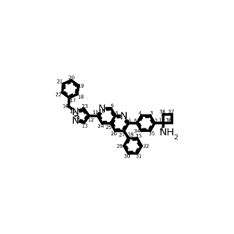 NC1(c2ccc(-c3nc4cnc(-c5cnn(Cc6ccccc6)c5)cc4cc3-c3ccccc3)cc2)CCC1